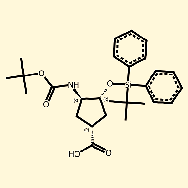 CC(C)(C)OC(=O)N[C@@H]1C[C@@H](C(=O)O)C[C@H]1O[Si](c1ccccc1)(c1ccccc1)C(C)(C)C